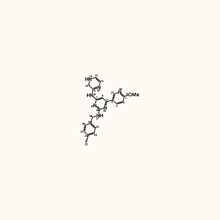 COc1ccc(-c2cc(NC3=NC=CNC3)nc(NCc3ccc(F)cc3)n2)cn1